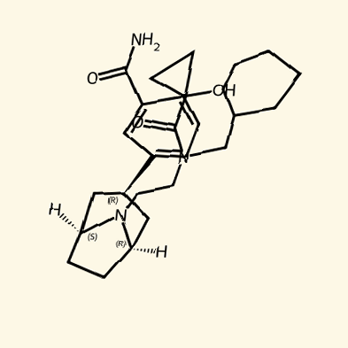 NC(=O)c1cccc([C@H]2C[C@H]3CC[C@@H](C2)N3CCN(CC2CCCCC2)C(=O)C2(O)CC2)c1